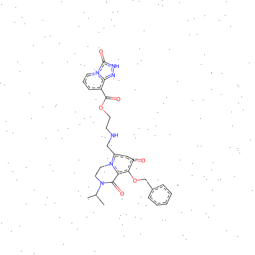 CC(C)N1CCn2c(CNCCOC(=O)c3cccn4c(=O)[nH]nc34)cc(=O)c(OCc3ccccc3)c2C1=O